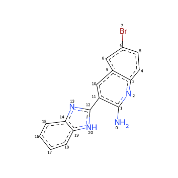 Nc1nc2ccc(Br)cc2cc1-c1nc2ccccc2[nH]1